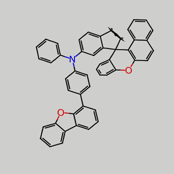 c1ccc(N(c2ccc(-c3cccc4c3oc3ccccc34)cc2)c2ccc3c(c2)C2(c4ccccc4Oc4ccc5ccccc5c42)c2ccccc2-3)cc1